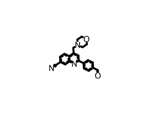 N#Cc1ccc2c(CN3CCOCC3)cc(-c3ccc(C=O)cc3)nc2c1